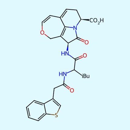 CCC(C)C(NC(=O)Cc1csc2ccccc12)C(=O)N[C@@H]1C(=O)N2C3=C1COC=CC3=CC[C@H]2C(=O)O